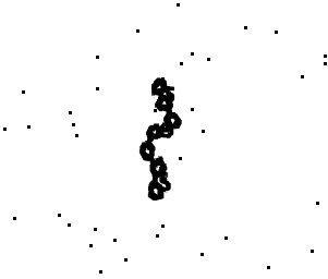 c1cc(Oc2cccc(-c3ccc4c(c3)sc3ccccc34)c2)cc(-c2cccc(-c3ccc4sc5ccccc5c4c3)c2)c1